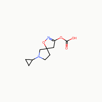 O=C(O)OC1=NOC2(CCN(C3CC3)C2)C1